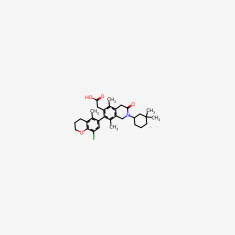 Cc1c(-c2c(C)c3c(c(C)c2CC(=O)O)CC(=O)N(C2CCCC(C)(C)C2)C3)cc(F)c2c1CCCO2